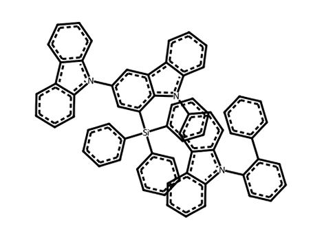 c1ccc(-c2ccccc2-n2c3ccccc3c3cc(-n4c5ccccc5c5cc(-n6c7ccccc7c7ccccc76)cc([Si](c6ccccc6)(c6ccccc6)c6ccccc6)c54)ccc32)cc1